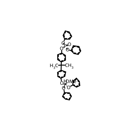 CO[PH](Oc1ccccc1)(Oc1ccccc1)Oc1ccc(C(C)(C)c2ccc(OP(=O)(Oc3ccccc3)Oc3ccccc3)cc2)cc1